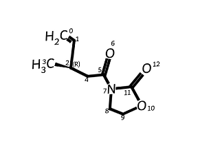 C=C[C@H](C)CC(=O)N1CCOC1=O